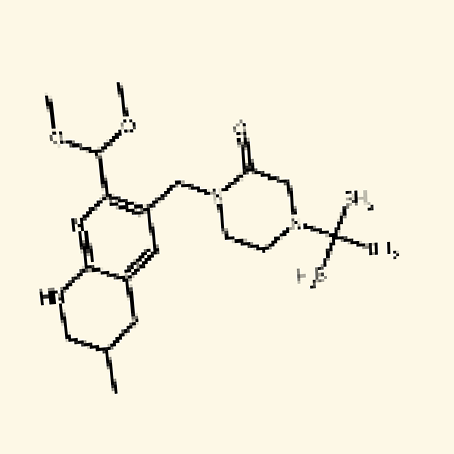 BC(B)(B)N1CCN(Cc2cc3c(nc2C(OC)OC)NCC(C)C3)C(=O)C1